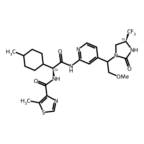 COCC(c1ccnc(NC(=O)[C@@H](NC(=O)c2ncsc2C)C2CCC(C)CC2)c1)N1C[C@@H](C(F)(F)F)NC1=O